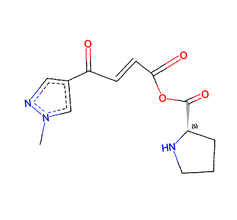 Cn1cc(C(=O)C=CC(=O)OC(=O)[C@@H]2CCCN2)cn1